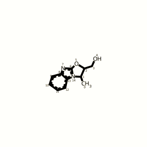 CC1C(CO)Oc2nc3ccccc3n21